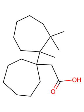 CC1(C)CCCCCC1(C)C1(CC(=O)O)CCCCCC1